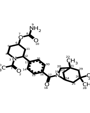 CC(=O)N1CCC(OC(N)=O)CC1c1ccc(C(=O)N2CC3(C)CC2CC(C)(C)C3)cc1